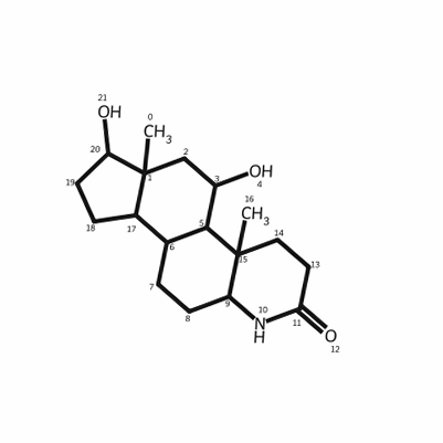 CC12CC(O)C3C(CCC4NC(=O)CCC43C)C1CCC2O